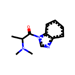 CC(C(=O)n1cnc2ccccc21)N(C)C